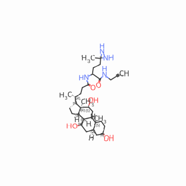 C#CCNC(=O)C(CCC1(C)NN1)NC(=O)CC[C@@H](C)[C@H]1CC[C@H]2[C@@H]3[C@H](O)C[C@@H]4C[C@H](O)CC[C@]4(C)[C@H]3C[C@H](O)[C@]12C